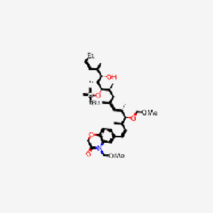 CC/C=C\C(C)[C@H](O)[C@@H](C)[C@H](O[Si](C)(C)C(C)(C)C)[C@@H](C)C/C(C)=C\[C@H](C)[C@@H](OCOC)C(C)/C=C\c1ccc2c(c1)N(COC)C(=O)CO2